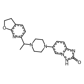 CC(c1ccc2c(n1)OCC2)N1CCN(c2ccc3nc(=O)[nH]n3c2)CC1